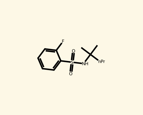 CCCC(C)(C)NS(=O)(=O)c1ccccc1F